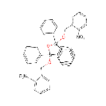 O=[N+]([O-])c1ccccc1CO[Si](O[Si](OCc1ccccc1[N+](=O)[O-])(c1ccccc1)c1ccccc1)(c1ccccc1)c1ccccc1